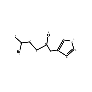 CC(Br)CCC(Cl)Cc1ccsc1